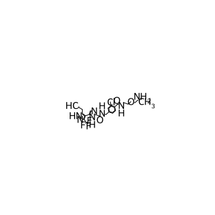 C#CCc1[nH]nc(C(F)(F)F)c1-c1cnc(C(=O)NCc2ccc(C(=O)NCCOC[C@@H](C)N)c(Cl)c2)[nH]1